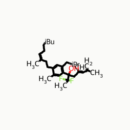 C=C(C)/C=C(\C)CC(O)(c1cc(C)c(CC/C(C)=C\CCC(C)CC)cc1CC(C)C)C(C)(F)F